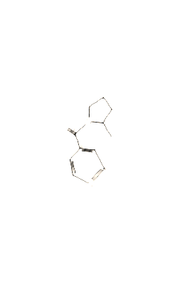 CC1CCCN1C(=O)c1ccncc1